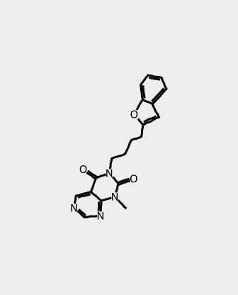 Cn1c(=O)n(CCCCc2cc3ccccc3o2)c(=O)c2cncnc21